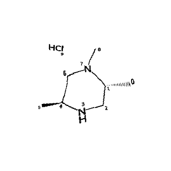 C[C@@H]1CN[C@@H](C)CN1C.Cl